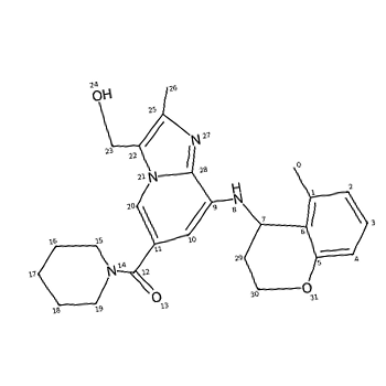 Cc1cccc2c1C(Nc1cc(C(=O)N3CCCCC3)cn3c(CO)c(C)nc13)CCO2